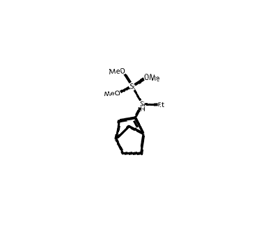 CC[SiH](C1=C2CCC(C2)C1)[Si](OC)(OC)OC